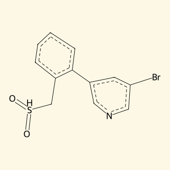 O=[SH](=O)Cc1ccccc1-c1cncc(Br)c1